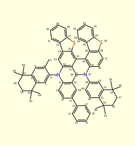 Cc1cc2c(cc1N1c3ccc(-c4ccccc4)cc3B3c4c1cc1c(sc5ccccc51)c4-c1c(ccc4sc5ccccc5c14)N3c1ccc3c(c1)C(C)(C)CCC3(C)C)C(C)(C)CCC2(C)C